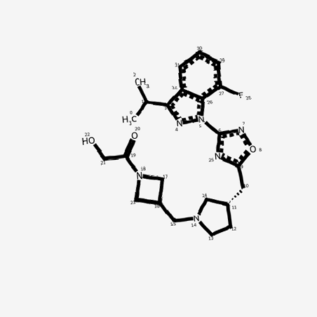 CC(C)c1nn(-c2noc(C[C@@H]3CCN(CC4CN(C(=O)CO)C4)C3)n2)c2c(F)cccc12